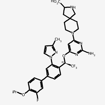 Cc1ccn(-c2cc(-c3ccc(OC(C)C)c(F)c3)ccc2[C@@H](Oc2cc(N3CCC4(CC3)CNC(C(=O)O)C4)nc(N)n2)C(F)(F)F)n1